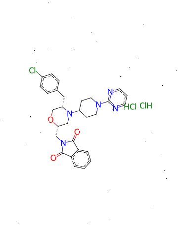 Cl.Cl.O=C1c2ccccc2C(=O)N1C[C@H]1CN(C2CCN(c3ncccn3)CC2)[C@@H](Cc2ccc(Cl)cc2)CO1